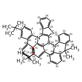 CC(C)(C)c1ccc(N2c3cc(C(C)(C)C)cc4c3B(c3sc5ccccc5c32)N2c3ccccc3C(C)(C)c3cccc-4c32)c(-c2ccccc2)c1